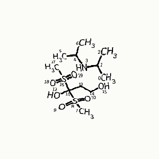 CC(C)NC(C)C.CS(=O)(=O)C(O)(CCO)S(C)(=O)=O